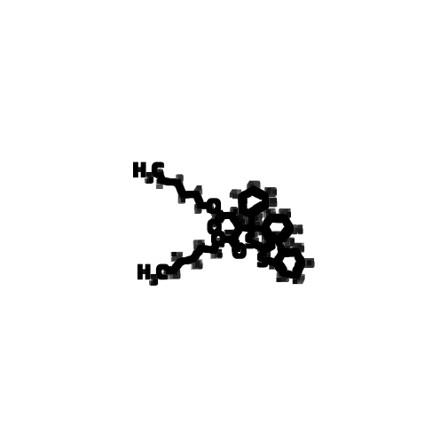 CCCCCCOC(=O)CC(C(=O)OCCCCCC)C(Sc1nc2ccccc2s1)(c1ccccc1)c1ccccc1